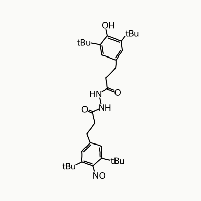 CC(C)(C)c1cc(CCC(=O)NNC(=O)CCc2cc(C(C)(C)C)c(N=O)c(C(C)(C)C)c2)cc(C(C)(C)C)c1O